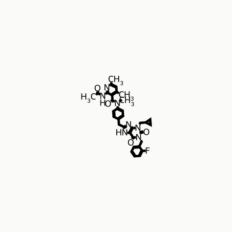 CC(=O)Nc1nc(C)cc(C)c1C(=O)N(C)c1ccc(Cc2nc3c([nH]2)c(=O)n(Cc2ccccc2F)c(=O)n3CC2CC2)cc1